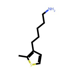 Cc1sccc1CCCCCN